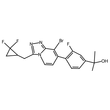 CC(C)(O)c1ccc(-c2ccn3c(CC4CC4(F)F)nnc3c2Br)c(F)c1